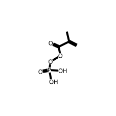 C=C(C)C(=O)OOP(=O)(O)O